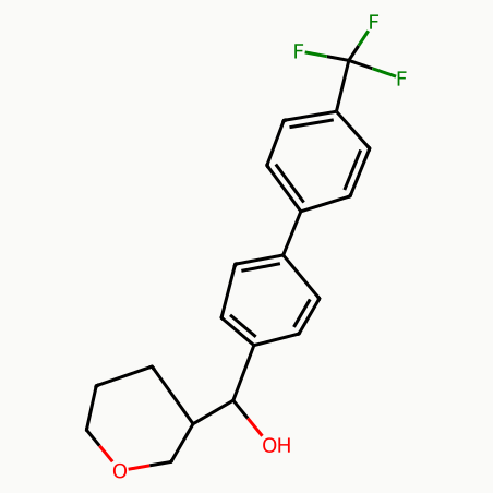 OC(c1ccc(-c2ccc(C(F)(F)F)cc2)cc1)C1CCCOC1